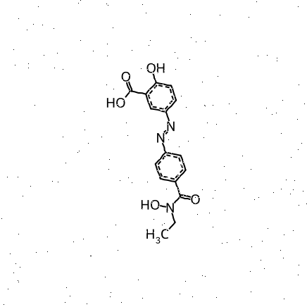 CCN(O)C(=O)c1ccc(N=Nc2ccc(O)c(C(=O)O)c2)cc1